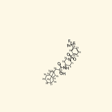 O=C(NC1CCN(S(=O)(=O)c2cccc(C(F)(F)F)c2)CC1)C(O)CC12CC3CCCC(C1)C(C3)C2